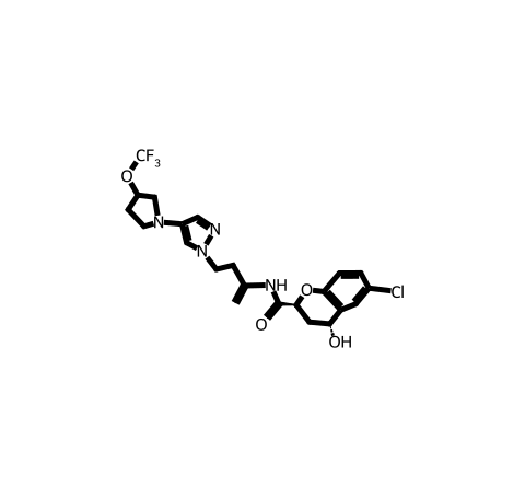 C=C(CCn1cc(N2CCC(OC(F)(F)F)C2)cn1)NC(=O)[C@@H]1C[C@@H](O)c2cc(Cl)ccc2O1